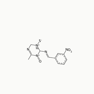 CC1=NC[NH+]([S-])C(/N=C/c2cccc([N+](=O)[O-])c2)[N+]1=O